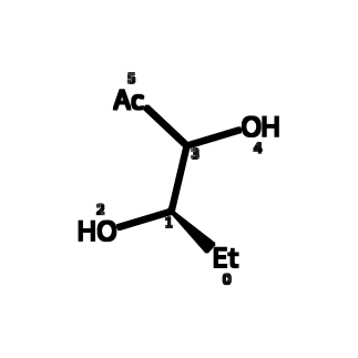 CC[C@@H](O)C(O)C(C)=O